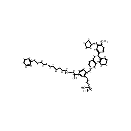 COc1ccc([C@H](Cc2cc[n+](Cc3ccc(C(O)CNCCCCCCOCCCCc4ccccc4)cc3OCOP(=O)(O)O)cc2)c2ccccc2)cc1OC1CCCC1